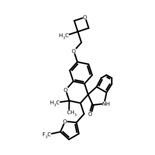 CC1(COc2ccc3c(c2)OC(C)(C)C(Cc2ccc(C(F)(F)F)o2)C32C(=O)Nc3ccccc32)COC1